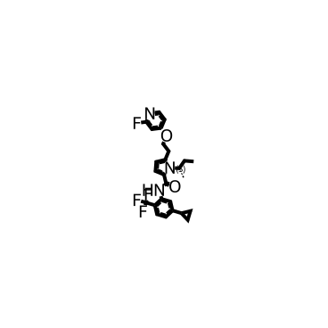 CC[C@H](C)n1c(CCOc2ccnc(F)c2)ccc1C(=O)Nc1cc(C2CC2)ccc1C(F)(F)F